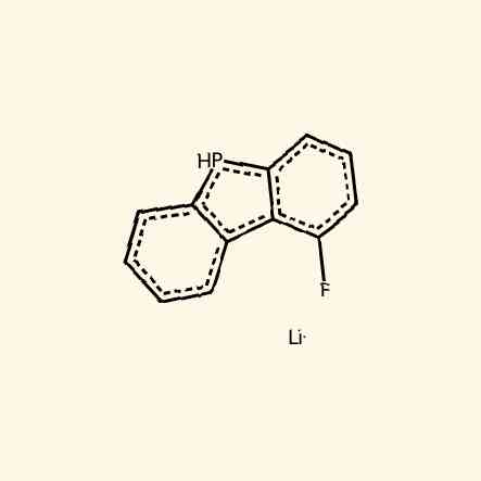 Fc1cccc2[pH]c3ccccc3c12.[Li]